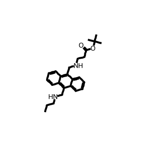 CCCNCc1c2ccccc2c(CNCCC(=O)OC(C)(C)C)c2ccccc12